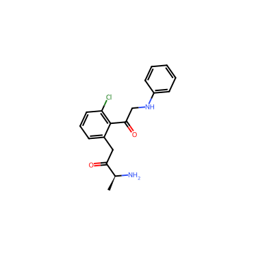 C[C@H](N)C(=O)Cc1cccc(Cl)c1C(=O)CNc1ccccc1